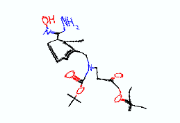 CC1C(CN(CCC(=O)OC(C)(C)C)C(=O)OC(C)(C)C)=CC=CC1/C(N)=N/O